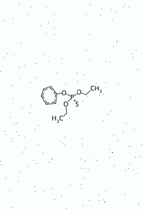 CCOP(=S)(OCC)Oc1ccccc1